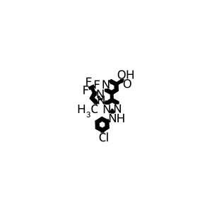 Cc1cc(C(F)(F)F)nn1-c1nc(Nc2cccc(Cl)c2)ncc1-c1cncc(C(=O)O)c1